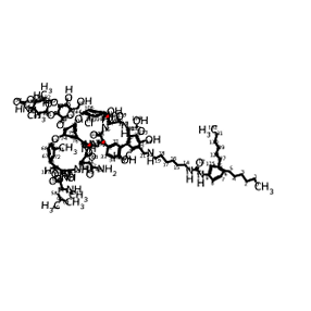 CCCCCCc1ccc(NC(=O)NCCCCCCNCc2c(O)cc3c(c2C)-c2cc(ccc2O)[C@H]2NC(=O)[C@@H]4NC(=O)[C@H](CC(N)=O)NC(=O)[C@H](NC(=O)[C@@H](CC(C)C)NC)[C@H](O)c5ccc(c(C)c5)Oc5cc4cc(c5O[C@@H]4O[C@H](CO)[C@@H](O)[C@H](O)[C@H]4O[C@H]4C[C@]5(C)NC(=O)O[C@@H]5[C@H](C)O4)Oc4ccc(cc4Cl)[C@@H](O)[C@H](NC2=O)C(=O)N[C@@H]3C(=O)O)cc1CCCCCC